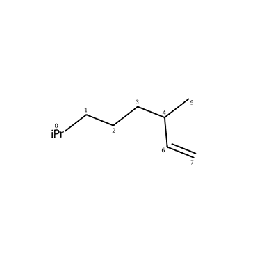 [CH2]C(C)CCCC(C)C=C